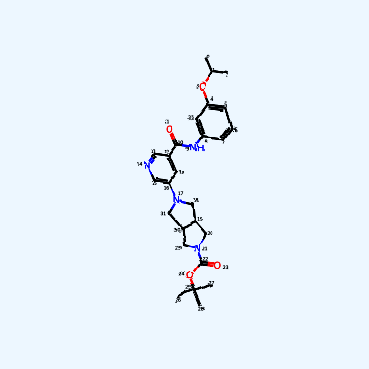 CC(C)Oc1cccc(NC(=O)c2cncc(N3CC4CN(C(=O)OC(C)(C)C)CC4C3)c2)c1